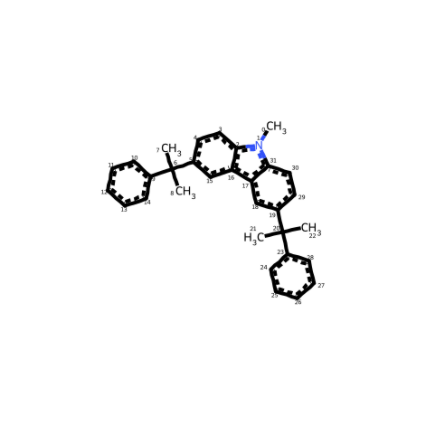 Cn1c2ccc(C(C)(C)c3ccccc3)cc2c2cc(C(C)(C)c3ccccc3)ccc21